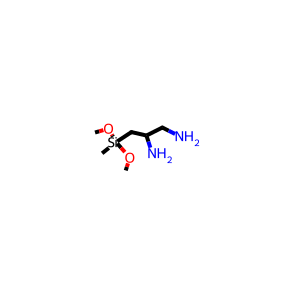 CO[Si](C)(CC(N)CN)OC